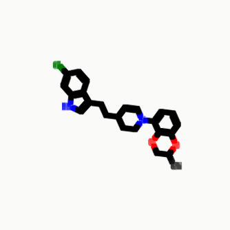 N#CC1COc2c(cccc2N2C=CC(CCc3c[nH]c4cc(Cl)ccc34)CC2)O1